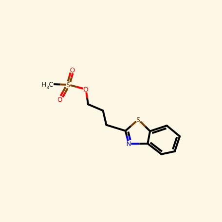 CS(=O)(=O)OCCCc1nc2ccccc2s1